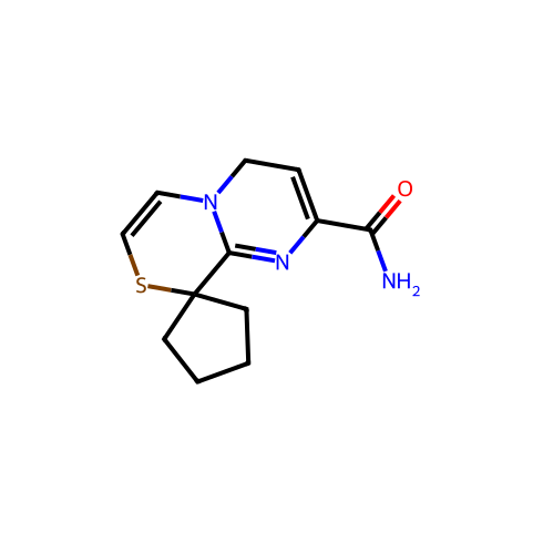 NC(=O)C1=CCN2C=CSC3(CCCC3)C2=N1